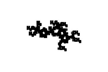 CCn1nc(C(C)C)n2nc(C(C)(C)C)c(N=Nc3nnc(C(C)(C)C)s3)c12